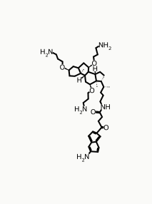 C[C@H](CCCNC(=O)CCC(=O)c1ccc2cc(N)ccc2c1)[C@H]1CC[C@H]2C3[C@H](OCCCN)CC4C[C@H](OCCCN)CC[C@]4(C)[C@H]3C[C@H](OCCCN)[C@]12C